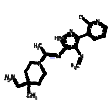 C=Nc1c(-c2cccnc2Cl)n[nH]c1/N=C(\C)N1CCC(C)(CN)CC1